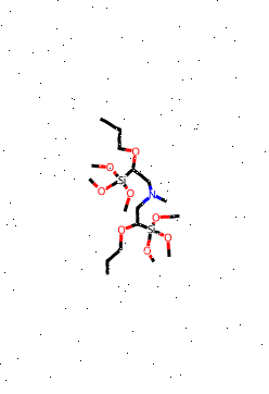 CCCOC(CN(C)CC(OCCC)[Si](OC)(OC)OC)[Si](OC)(OC)OC